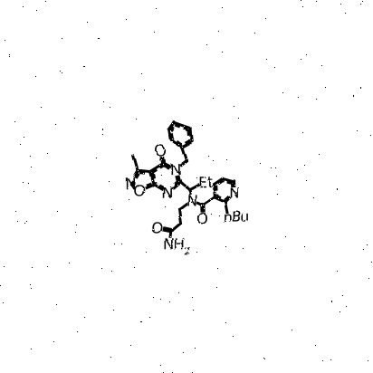 CCCCc1ncccc1C(=O)N(CCC(N)=O)C(CC)c1nc2onc(C)c2c(=O)n1Cc1ccccc1